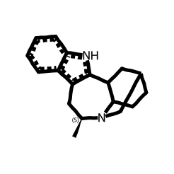 C[C@H]1Cc2c([nH]c3ccccc23)C2CC3CCC2N1C3